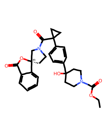 CCOC(=O)N1CCC(O)(c2ccc(C3(C(=O)N4CC[C@@]5(C4)OC(=O)c4ccccc45)CC3)cc2)CC1